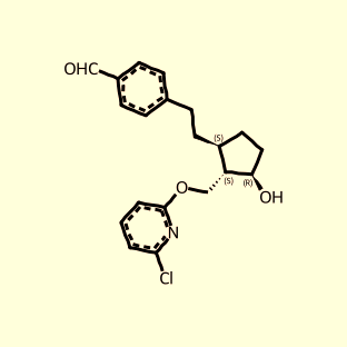 O=Cc1ccc(CC[C@H]2CC[C@@H](O)[C@@H]2COc2cccc(Cl)n2)cc1